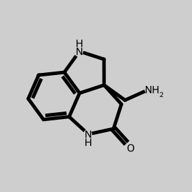 NCC12CNc3cccc(c31)NC(=O)C2